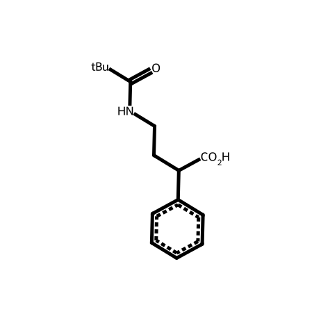 CC(C)(C)C(=O)NCCC(C(=O)O)c1ccccc1